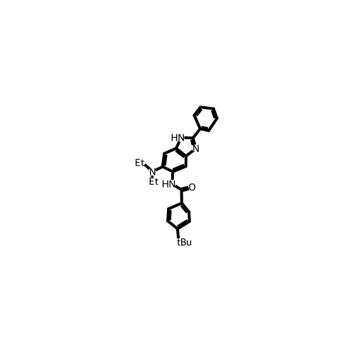 CCN(CC)c1cc2[nH]c(-c3ccccc3)nc2cc1NC(=O)c1ccc(C(C)(C)C)cc1